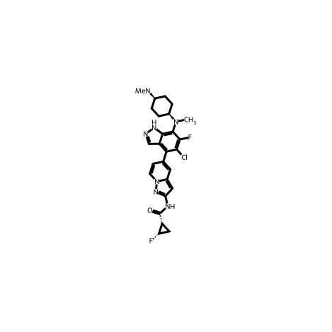 CN[C@H]1CC[C@@H](N(C)c2c(F)c(Cl)c(-c3ccn4nc(NC(=O)[C@@H]5C[C@@H]5F)cc4c3)c3cn[nH]c23)CC1